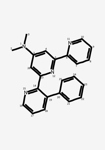 CN(C)c1cc(-c2ccccn2)nc(-c2ncccc2-c2ccccc2)c1